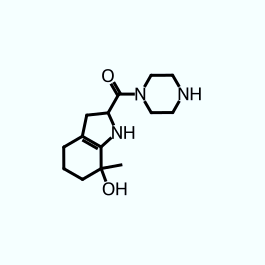 CC1(O)CCCC2=C1NC(C(=O)N1CCNCC1)C2